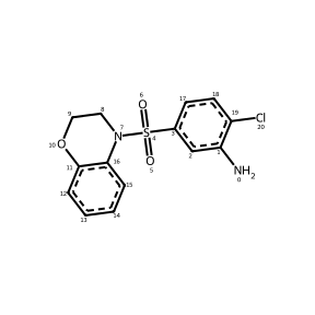 Nc1cc(S(=O)(=O)N2CCOc3ccccc32)ccc1Cl